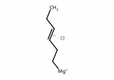 CC/C=C/C[CH2][Mg+].[Cl-]